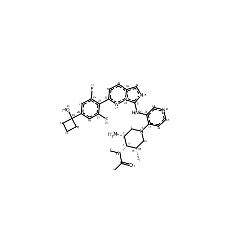 CC(=O)N(C)[C@@H]1[C@H](N)CN(c2ccncc2Nc2ncc3ccc(-c4c(F)cc(C5(O)CCC5)cc4F)nn23)C[C@@H]1C